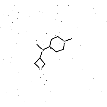 CN1CCC(N(C)C2COC2)CC1